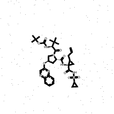 C=CCC1C[C@]1(NC(=O)[C@@H]1C[C@@H](Oc2cnc3ccccc3n2)CN1C(=O)[C@@H](NC(=O)OC(C)(C)C)C(C)(C)C)C(=O)NS(=O)(=O)C1CC1